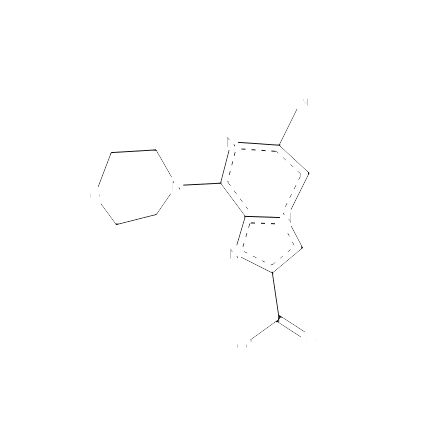 O=C([O-])c1cn2cc(Br)nc(N3CCOCC3)c2n1.[Li+]